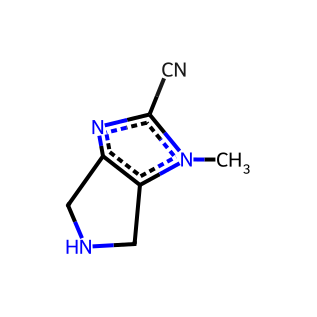 Cn1c(C#N)nc2c1CNC2